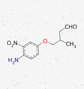 CC(CC=O)COc1ccc(N)c([N+](=O)[O-])c1